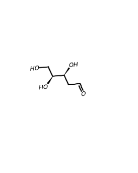 O=CC[C@H](O)[C@@H](O)CO